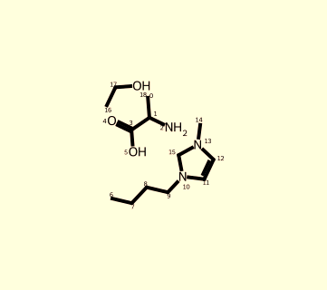 CC(N)C(=O)O.CCCCN1C=CN(C)C1.CCO